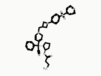 CCCC(=O)O[C@@H]1CCC[C@H]1C(C#N)(C1=CCN(CC2CN(c3ccc(S(=O)(=O)c4ccncc4)cc3)C2)C=C1)c1ccccc1